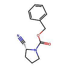 N#C[C@H]1CCCN1C(=O)OCc1ccccc1